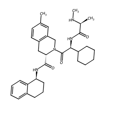 CN[C@@H](C)C(=O)N[C@H](C(=O)N1Cc2cc(C)ccc2C[C@H]1C(=O)N[C@H]1CCCc2ccccc21)C1CCCCC1